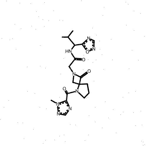 CC(C)C(NC(=O)CN1CC2(CCCN2C(=O)c2ncnn2C)C1=O)c1ncno1